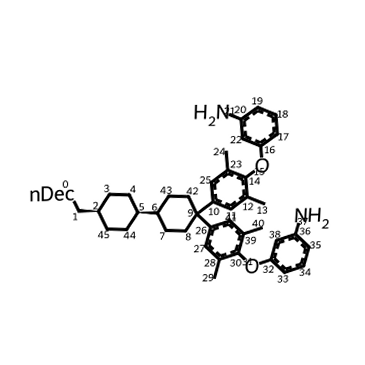 CCCCCCCCCCC[C@H]1CC[C@@H](C2CCC(c3cc(C)c(Oc4cccc(N)c4)c(C)c3)(c3cc(C)c(Oc4cccc(N)c4)c(C)c3)CC2)CC1